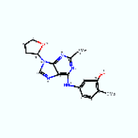 COc1ccc(Nc2nc(SC)nc3c2ncn3C2CCCO2)cc1O